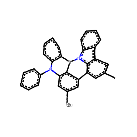 Cc1cc2c3c(c1)c1ccccc1n3B1c3ccccc3N(c3ccccc3)c3cc(C(C)(C)C)cc-2c31